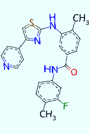 Cc1ccc(NC(=O)c2ccc(C)c(Nc3nc(-c4ccncc4)cs3)c2)cc1F